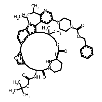 CCn1c(-c2cc(N3CCN(C(=O)OCc4ccccc4)CC3)cnc2C(C)C)c2c3cc(ccc31)-c1nc(co1)C[C@H](NC(=O)OC(C)(C)C)C(=O)N1CCC[C@H](N1)C(=O)OCC(C)(C)C2